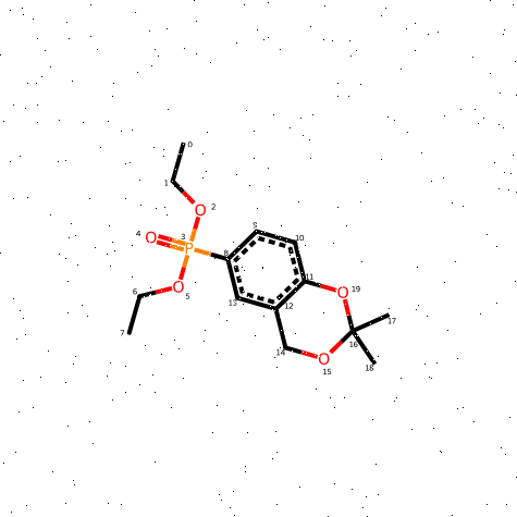 CCOP(=O)(OCC)c1ccc2c(c1)COC(C)(C)O2